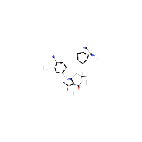 Cc1cn(-c2ccc(C#N)c(Br)c2)c2c1C(=O)CC(C)(C)C2.N#CC#N.c1ccccc1